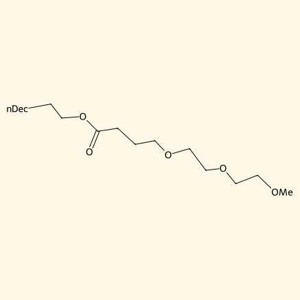 CCCCCCCCCCCCOC(=O)CCCOCCOCCOC